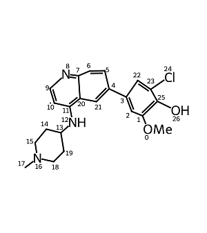 COc1cc(-c2ccc3nc[c]c(NC4CCN(C)CC4)c3c2)cc(Cl)c1O